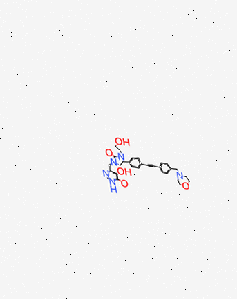 O=C1N(Cc2nc[nH]c(=O)c2O)CC(c2ccc(C#Cc3ccc(CN4CCOCC4)cc3)cc2)N1CCO